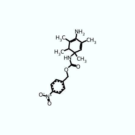 CC1=CC(C)(NC(=O)OCc2ccc([N+](=O)[O-])cc2)C(C)C(C)=C1N